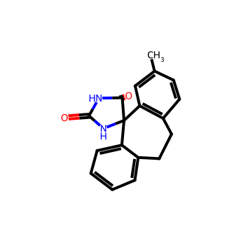 Cc1ccc2c(c1)C1(NC(=O)NC1=O)c1ccccc1CC2